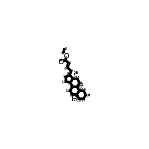 CCOC(=O)/C=C/CC1CCC2C3CC[C@@H]4CCCC[C@]4(C)C3CC[C@]12C